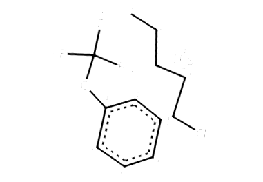 CCCCCCl.FC(F)(F)Oc1ccccc1.S